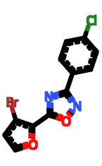 Clc1ccc(-c2noc(-c3occc3Br)n2)cc1